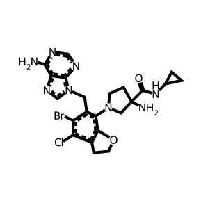 Nc1ncnc2c1ncn2Cc1c(Br)c(Cl)c2c(c1N1CCC(N)(C(=O)NC3CC3)C1)OCC2